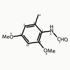 COc1cc(C)c(NC=O)c(OC)c1